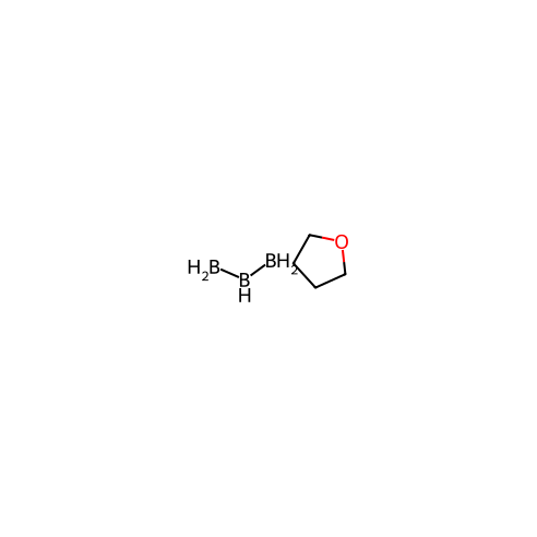 BBB.C1CCOC1